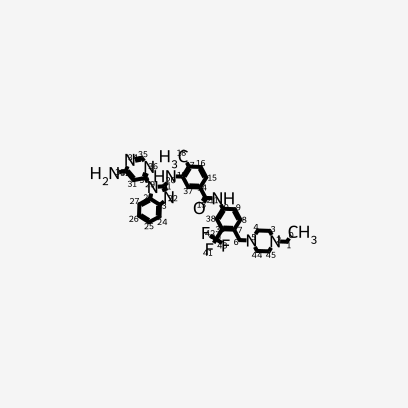 CCN1CCN(Cc2ccc(NC(=O)c3ccc(C)c(Nc4nc5ccccc5n4-c4cc(N)ncn4)c3)cc2C(F)(F)F)CC1